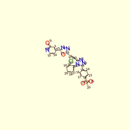 COc1cc(-c2nnc(C#Cc3nnc(-c4ccc(S(C)(=O)=O)cc4)n3-c3ccccc3Cl)o2)ccn1